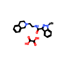 CCCn1nc(C(=O)NCCN2CCc3ccccc3C2)c2ccccc21.O=C(O)C(=O)O